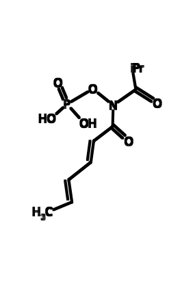 CC=CC=CC(=O)N(OP(=O)(O)O)C(=O)C(C)C